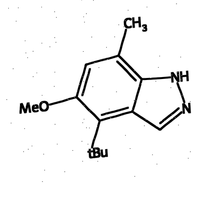 COc1cc(C)c2[nH]ncc2c1C(C)(C)C